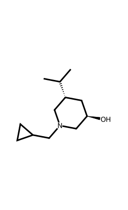 CC(C)[C@@H]1C[C@@H](O)CN(CC2CC2)C1